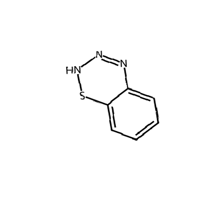 c1ccc2c(c1)N=NNS2